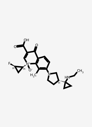 CCNC1([C@@H]2CCN(c3ccc4c(c3C)[N+]([O-])([C@@H]3C[C@H]3F)C=C(C(=O)O)C4=O)C2)CC1